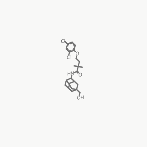 CC(C)(CCOc1ccc(Cl)cc1Cl)C(=O)NC1C2CC3CC1CC(CO)(C3)C2